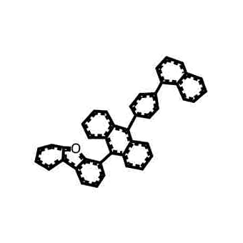 c1ccc2c(-c3ccc(-c4c5ccccc5c(-c5cccc6c5oc5ccccc56)c5ccccc45)cc3)cccc2c1